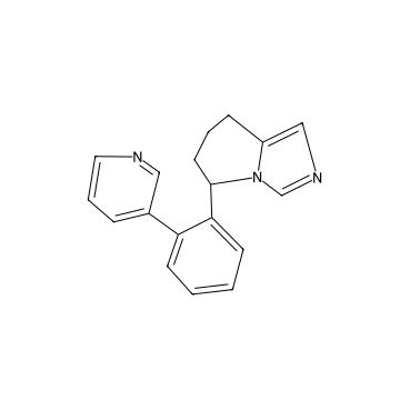 c1cncc(-c2ccccc2C2CCCc3cncn32)c1